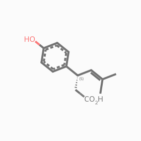 CC(C)=C[C@H](CC(=O)O)c1ccc(O)cc1